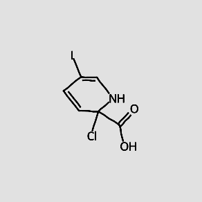 O=C(O)C1(Cl)C=CC(I)=CN1